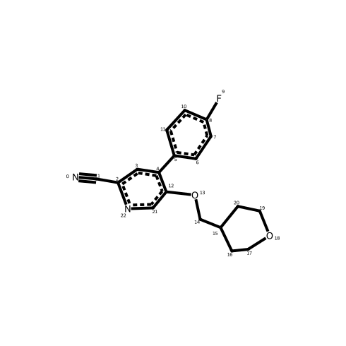 N#Cc1cc(-c2ccc(F)cc2)c(OCC2CCOCC2)cn1